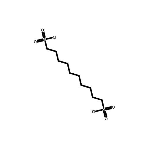 O=S(=O)(Cl)CCCCCCCCCCS(=O)(=O)Cl